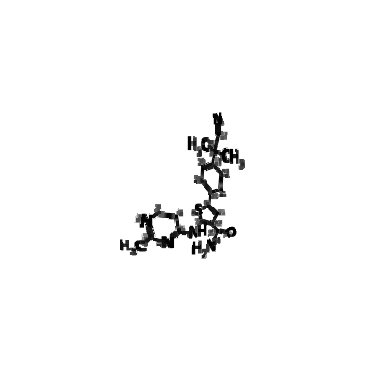 Cc1nccc(Nc2sc(-c3ccc(C(C)(C)C#N)cc3)cc2C(N)=O)n1